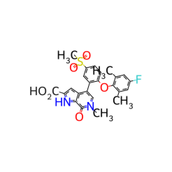 Cc1cc(F)cc(C)c1Oc1ccc(S(C)(=O)=O)cc1-c1cn(C)c(=O)c2[nH]c(C(=O)O)cc12